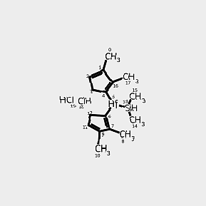 CC1=CC[C]([Hf]([C]2=C(C)C(C)=CC2)[SiH](C)C)=C1C.Cl.Cl